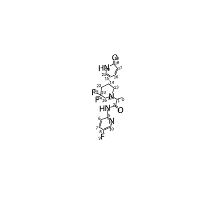 CC(C(=O)Nc1ccc(F)cn1)N1C[C@@H](c2ccc(=O)[nH]c2)CC(F)(F)C1